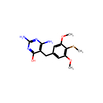 COc1cc(Cc2c(N)nc(N)nc2O)cc(OC)c1SC